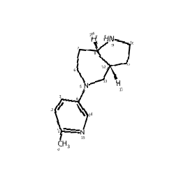 Cc1ccc(N2CC[C@@H]3NCC[C@@H]3C2)cn1